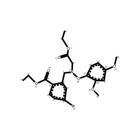 CCOC(=O)CN(Cc1cc(Br)ccc1C(=O)OCC)Oc1ccc(OC)cc1OC